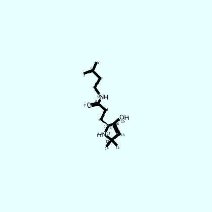 CC(C)CCNC(=O)CC[C@@H]1NC(C)(C)C=C1O